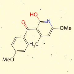 COc1ccc(C(=O)c2c(C)cc(OC)nc2O)cc1